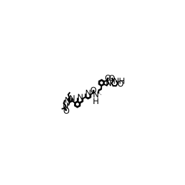 CCc1nc(-c2cccc3cc(-c4ccc(C(=O)N[C@@H](C)/C=C/c5cccc6c5CN(C5CCC(=O)NC5=O)C6=O)nc4)ncc23)c2n1CCN(C(C)=O)C2